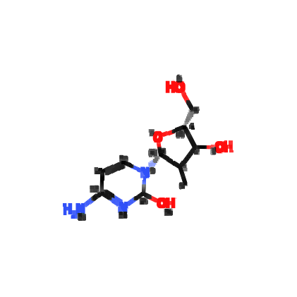 CC1C(O)[C@@H](CO)O[C@H]1N1C=CC(N)=NC1O